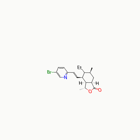 CCC1[C@@H](C)C[C@H]2C(=O)O[C@H](C)[C@H]2[C@H]1/C=C/c1ccc(Br)cn1